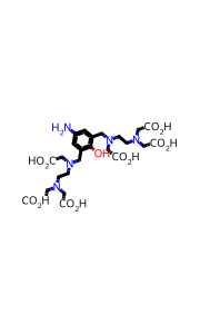 Nc1cc(CN(CCN(CC(=O)O)CC(=O)O)CC(=O)O)c(O)c(CN(CCN(CC(=O)O)CC(=O)O)CC(=O)O)c1